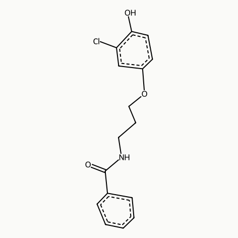 O=C(NCCCOc1ccc(O)c(Cl)c1)c1ccccc1